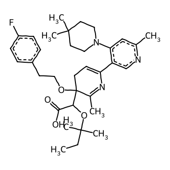 CCC(C)(C)OC(C(=O)O)C1(OCCc2ccc(F)cc2)CC=C(c2cnc(C)cc2N2CCC(C)(C)CC2)N=C1C